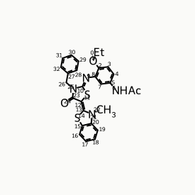 CCOc1ccc(NC(C)=O)cc1N=C1SC(=C2Sc3ccccc3N2C)C(=O)N1Cc1ccccc1